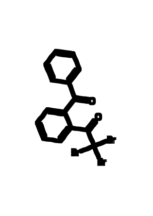 O=C(c1ccccc1)c1ccccc1C(=O)C(Br)(Br)Br